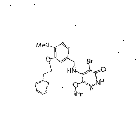 COc1ccc(CNc2c(OC(C)C)n[nH]c(=O)c2Br)cc1OCCc1ccccc1